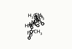 CCc1cc(OCc2ccccc2)c(F)cc1-c1ccc2c(-c3nc4c(n3Cc3ccccc3)C[C@@H](C(=O)OCc3ccccc3)N(C(=O)OC(C)(C)C)C4)n[nH]c2c1